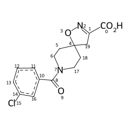 O=C(O)C1=NOC2(CCN(C(=O)c3cccc(Cl)c3)CC2)C1